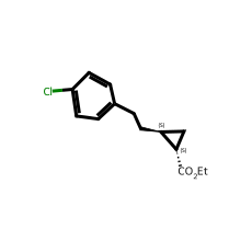 CCOC(=O)[C@H]1C[C@@H]1CCc1ccc(Cl)cc1